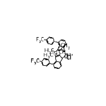 CC1=C2c3c(-c4ccc(C(F)(F)F)cc4)cccc3[CH]1[Zr+2][CH]1C(C)=C(c3c(-c4ccc(C(F)(F)F)cc4)cccc31)[Si]2(C)C.[Cl-].[Cl-]